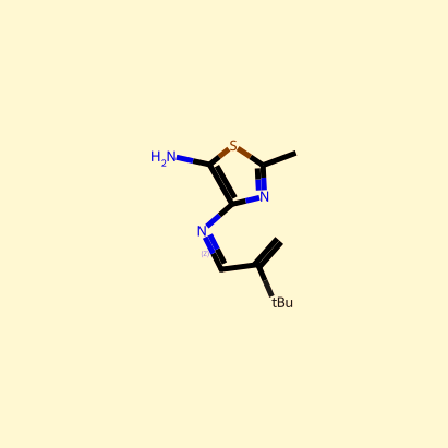 C=C(/C=N\c1nc(C)sc1N)C(C)(C)C